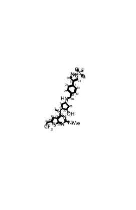 CNc1nc(N(C)[C@H]2C[C@@H](NCc3ccc(-c4cnn(S(C)(=O)=O)c4)cc3)C[C@H]2O)c2cc(CC(F)(F)F)sc2n1